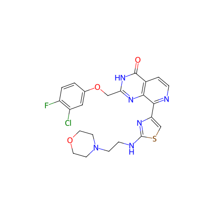 O=c1[nH]c(COc2ccc(F)c(Cl)c2)nc2c(-c3csc(NCCN4CCOCC4)n3)nccc12